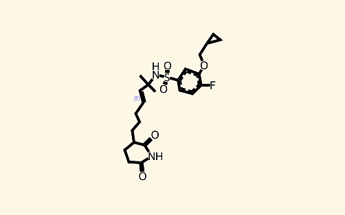 CC(C)(/C=C/CCCC1CCC(=O)NC1=O)NS(=O)(=O)c1ccc(F)c(OCC2CC2)c1